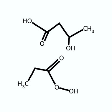 CC(O)CC(=O)O.CCC(=O)OO